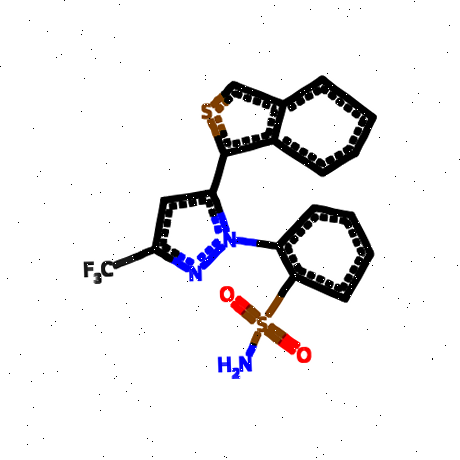 NS(=O)(=O)c1ccccc1-n1nc(C(F)(F)F)cc1-c1scc2ccccc12